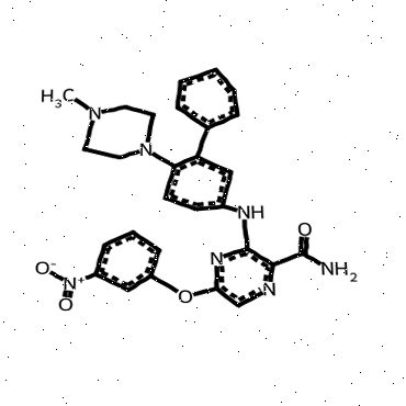 CN1CCN(c2ccc(Nc3nc(Oc4cccc([N+](=O)[O-])c4)cnc3C(N)=O)cc2-c2ccccc2)CC1